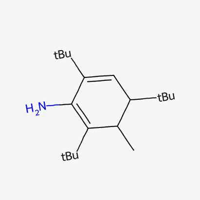 CC1C(C(C)(C)C)=C(N)C(C(C)(C)C)=CC1C(C)(C)C